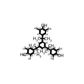 CC(C)(c1cc(C(C)(C)c2cc(I)c(O)c(I)c2)cc(C(C)(C)c2cc(I)c(O)c(I)c2)c1)c1cc(I)c(O)c(I)c1